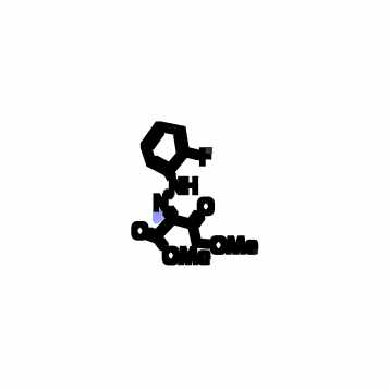 COCC(=O)/C(=N\Nc1ccccc1F)C(=O)OC